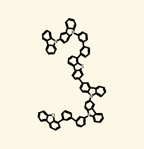 c1cc(-c2cccc(-n3c4ccccc4c4cc(-n5c6ccccc6c6cc(-c7ccc8c(c7)sc7c(-c9cccc(-c%10cccc(-n%11c%12ccccc%12c%12cc(-n%13c%14ccccc%14c%14ccccc%14%13)ccc%12%11)c%10)c9)cccc78)ccc65)ccc43)c2)cc(-c2cccc3c2oc2ccccc23)c1